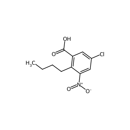 CCCCc1c(C(=O)O)cc(Cl)cc1[N+](=O)[O-]